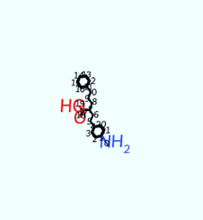 Nc1ccc(CCC(CCCc2ccccc2)C(=O)O)cc1